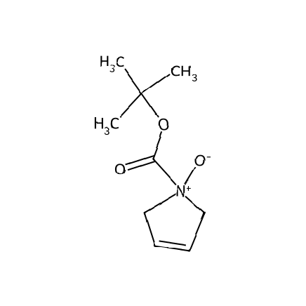 CC(C)(C)OC(=O)[N+]1([O-])CC=CC1